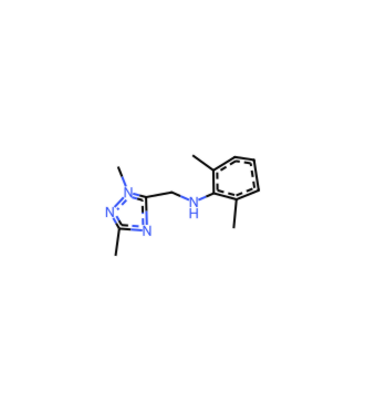 Cc1nc(CNc2c(C)cccc2C)n(C)n1